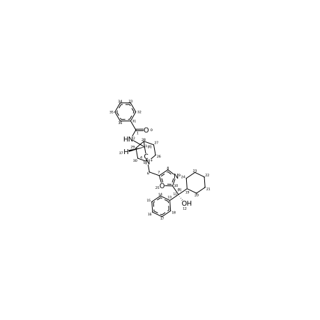 O=C(N[C@H]1C[N+]2(Cc3cnc([C@](O)(c4ccccc4)C4CCCCC4)o3)CCC1CC2)c1ccccc1